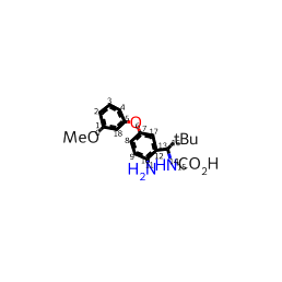 COc1cccc(Oc2ccc(N)c(C(NC(=O)O)C(C)(C)C)c2)c1